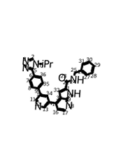 CC(C)n1cnnc1-c1ccc(-c2cncc(-c3ccnc4[nH]c(C(=O)NCc5ccccc5)cc34)c2)cc1